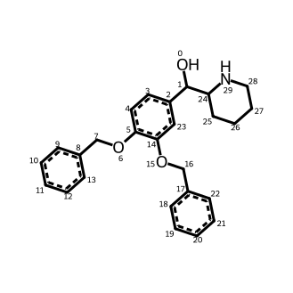 OC(c1ccc(OCc2ccccc2)c(OCc2ccccc2)c1)C1CCCCN1